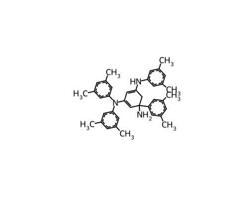 Cc1cc(C)cc(NC2=CC(N(c3cc(C)cc(C)c3)c3cc(C)cc(C)c3)=CC(N)(c3cc(C)cc(C)c3)C2)c1